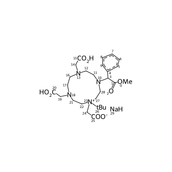 COC(=O)C(c1ccccc1)N1CCN(CC(=O)O)CCN(CC(=O)O)CC[N+](CC(=O)[O-])(C(C)(C)C)CC1.[NaH]